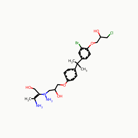 C/C(N)=C(\CO)N(N)CC(O)COc1ccc(C(C)(C)c2ccc(OCC(O)CCl)c(Br)c2)cc1